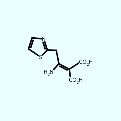 NC(Cc1nccs1)=C(C(=O)O)C(=O)O